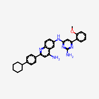 COc1ccccc1-c1cc(Nc2ccc3nc(-c4ccc(C5CCCCC5)cc4)cc(N)c3c2)nc(N)n1